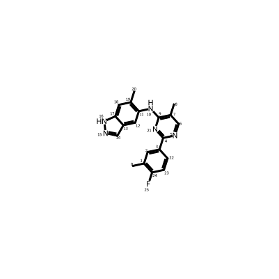 Cc1cc(-c2ncc(C)c(Nc3cc4cn[nH]c4cc3C)n2)ccc1F